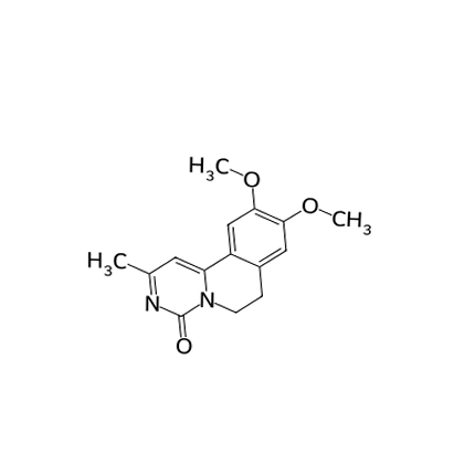 COc1cc2c(cc1OC)-c1cc(C)nc(=O)n1CC2